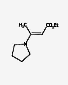 CCOC(=O)/C=C(\C)N1CCCC1